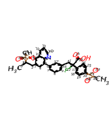 CC(Cc1cc(-c2cccc(CC(F)(C(=O)O)c3ccc(S(C)(=O)=O)cc3)c2)c2ncccc2c1)S(C)(=O)=O